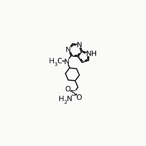 CN(c1ncnc2[nH]ccc12)C1CCC(CS(N)(=O)=O)CC1